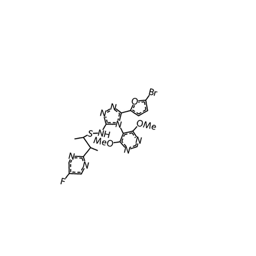 COc1ncnc(OC)c1-n1c(NSC(C)C(C)c2ncc(F)cn2)nnc1-c1ccc(Br)o1